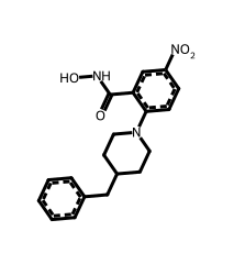 O=C(NO)c1cc([N+](=O)[O-])ccc1N1CCC(Cc2ccccc2)CC1